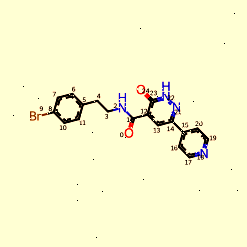 O=C(NCCc1ccc(Br)cc1)c1cc(-c2ccncc2)n[nH]c1=O